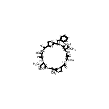 CC[C@H](C)C1NC(=O)C2CSC(=N2)[C@@H](Cc2ccccc2)NC(=O)C([C@@H](C)O)NC(=O)C([C@@H](C)CC)NC(=O)C2CSC(=N2)[C@@H](C)NC(=O)C([C@@H](C)O)NC1=O